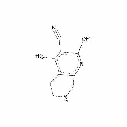 N#Cc1c(O)nc2c(c1O)CCNC2